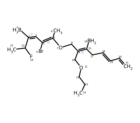 B/C(=C/C(Br)=C(\C)OC/C(COCCC)=C(\B)CC=CC=C)C(C)F